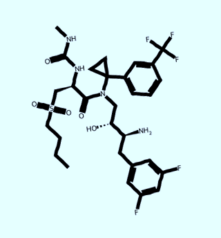 CCCCS(=O)(=O)C[C@@H](NC(=O)NC)C(=O)N(C[C@@H](O)[C@@H](N)Cc1cc(F)cc(F)c1)C1(c2cccc(C(F)(F)F)c2)CC1